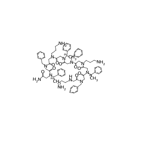 C[C@H](c1ccccc1)N(CC(N)=O)C(=O)CN(Cc1ccccc1)C(=O)CN(CCCN)C(=O)CN(C(=O)CN(Cc1ccccc1)C(=O)CN(CCCN)C(=O)CN(C(=O)CN(Cc1ccccc1)C(=O)CNCCCN)[C@H](C)c1ccccc1)[C@H](C)c1ccccc1